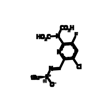 CC(C)(C)[S@+]([O-])N=Cc1nc(N(C(=O)O)C(=O)O)c(F)cc1Cl